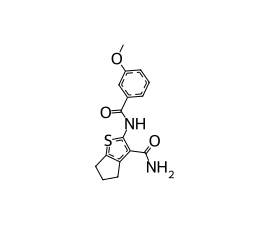 COc1cccc(C(=O)Nc2sc3c(c2C(N)=O)CCC3)c1